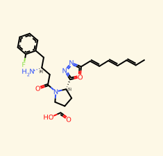 CC=CC=CC=Cc1nnc([C@@H]2CCCN2C(=O)C[C@H](N)Cc2ccccc2F)o1.O=CO